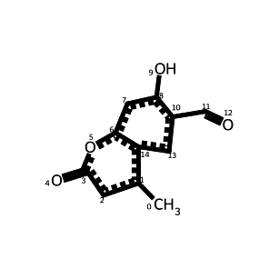 Cc1cc(=O)oc2cc(O)c(C=O)cc12